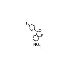 O=C(c1ccc(F)cc1)c1ccc([N+](=O)[O-])cc1F